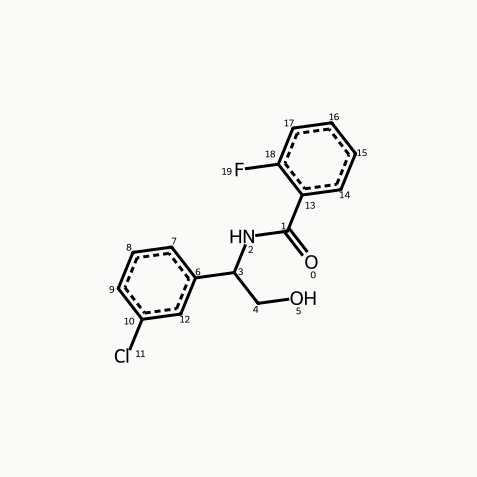 O=C(NC(CO)c1cccc(Cl)c1)c1ccccc1F